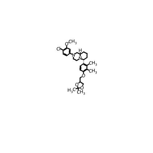 COc1cc(N2CCN3[C@@H](CCC[C@@H]3c3ccc(OCC4COC(C)(C)O4)c(C)c3C)C2)ccc1Cl